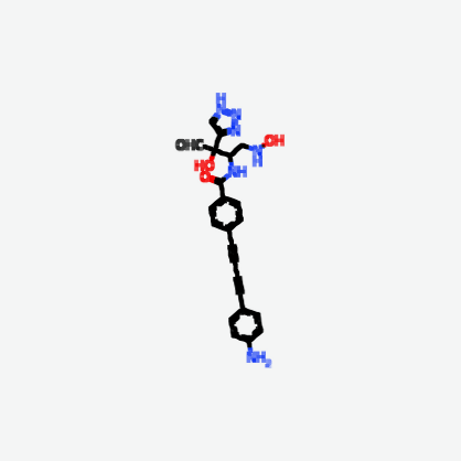 Nc1ccc(C#CC#Cc2ccc(C(=O)NC(CNO)C(O)(C=O)c3c[nH]nn3)cc2)cc1